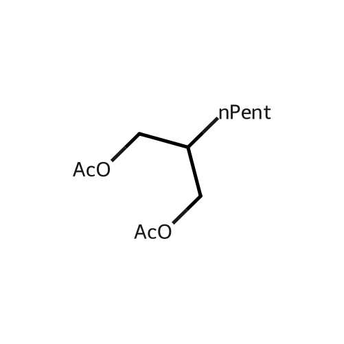 CCCCCC(COC(C)=O)COC(C)=O